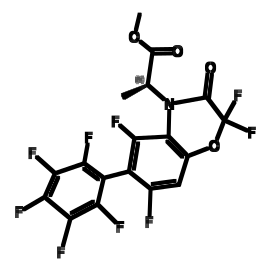 COC(=O)[C@H](C)N1C(=O)C(F)(F)Oc2cc(F)c(-c3c(F)c(F)c(F)c(F)c3F)c(F)c21